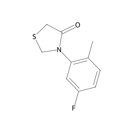 Cc1ccc(F)cc1N1CSCC1=O